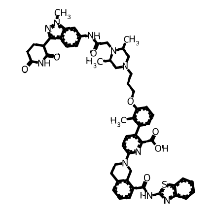 Cc1c(OCCCN2CC(C)N(CC(=O)Nc3ccc4c(C5CCC(=O)NC5=O)nn(C)c4c3)C(C)C2)cccc1-c1ccc(N2CCc3cccc(C(=O)Nc4nc5ccccc5s4)c3C2)nc1C(=O)O